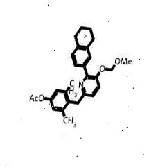 COCOc1ccc(Cc2c(C)cc(OC(C)=O)cc2C)nc1-c1ccc2c(c1)CCCC2